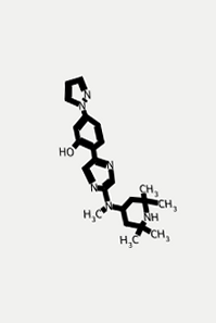 CN(c1cnc(-c2ccc(-n3cccn3)cc2O)cn1)C1CC(C)(C)NC(C)(C)C1